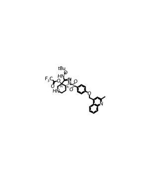 Cc1cc(COc2ccc(S(=O)(=O)N[C@@H]3CCNC[C@]3(OC(=O)C(F)(F)F)C(=O)NOC(C)(C)C)cc2)c2ccccc2n1